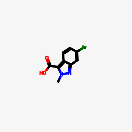 Cn1nc2cc(Br)ccc2c1C(=O)O